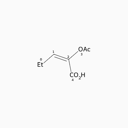 CCC=C(OC(C)=O)C(=O)O